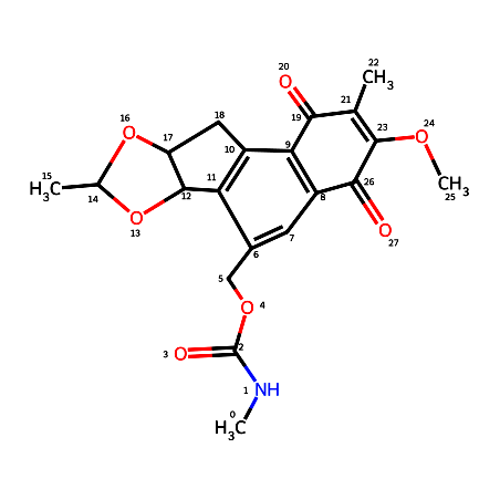 CNC(=O)OCc1cc2c(c3c1C1OC(C)OC1C3)C(=O)C(C)=C(OC)C2=O